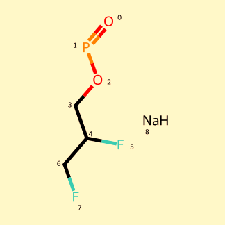 O=POCC(F)CF.[NaH]